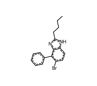 CCCCc1nc2c(-c3ccccc3)c(Br)ccc2[nH]1